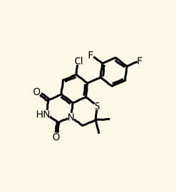 CC1(C)Cn2c(=O)[nH]c(=O)c3cc(Cl)c(-c4ccc(F)cc4F)c(c32)S1